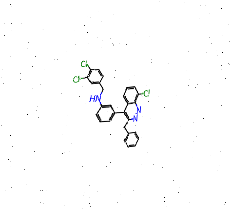 Clc1ccc(CNc2cccc(-c3c(Cc4ccccc4)nnc4c(Cl)cccc34)c2)cc1Cl